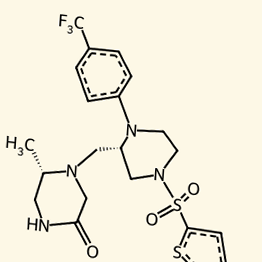 C[C@H]1CNC(=O)CN1C[C@H]1CN(S(=O)(=O)c2cccs2)CCN1c1ccc(C(F)(F)F)cc1